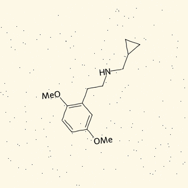 COc1ccc(OC)c(CCNCC2CC2)c1